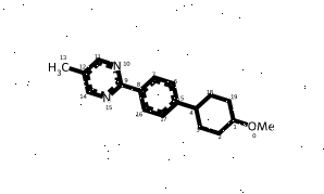 COC1CCC(c2ccc(-c3ncc(C)cn3)cc2)CC1